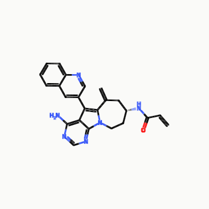 C=CC(=O)N[C@@H]1CCn2c(c(-c3cnc4ccccc4c3)c3c(N)ncnc32)C(=C)C1